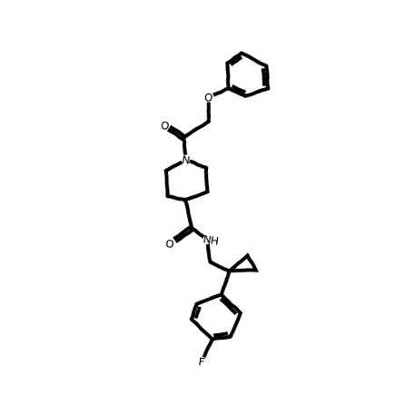 O=C(NCC1(c2ccc(F)cc2)CC1)C1CCN(C(=O)COc2ccccc2)CC1